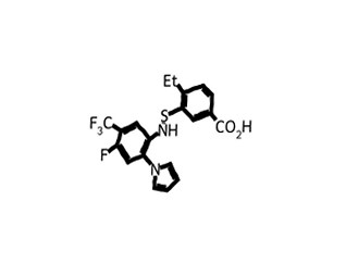 CCc1ccc(C(=O)O)cc1SNc1cc(C(F)(F)F)c(F)cc1-n1cccc1